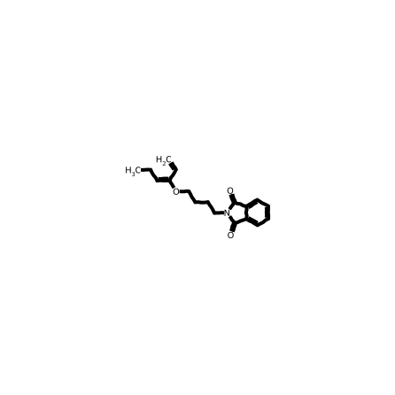 C=C/C(=C\CC)OCCCCN1C(=O)c2ccccc2C1=O